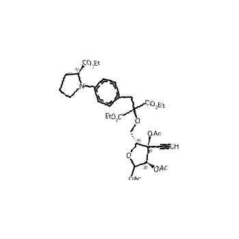 C#C[C@@]1(OC(C)=O)[C@@H](COC(Cc2ccc(N3CCC[C@H]3C(=O)OCC)cc2)(C(=O)OCC)C(=O)OCC)OC(OC(C)=O)[C@@H]1OC(C)=O